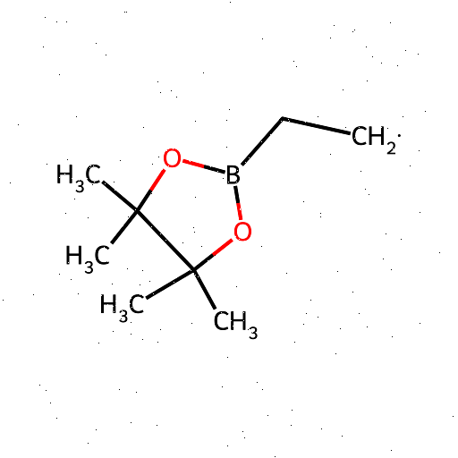 [CH2]CB1OC(C)(C)C(C)(C)O1